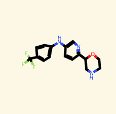 FC(F)(F)c1ccc(Nc2ccc(C3CNCCO3)nc2)cc1